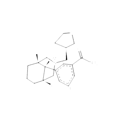 CO[C@]1(c2cccc(C(N)=O)c2)[C@@H]2CCC[C@H]1CN(C[C@H]1CCOC1)C2.Cl